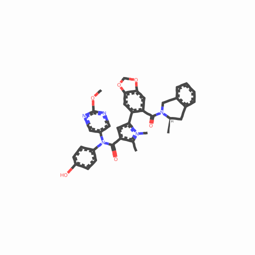 COc1ncc(N(C(=O)c2cc(-c3cc4c(cc3C(=O)N3Cc5ccccc5C[C@H]3C)OCO4)n(C)c2C)c2ccc(O)cc2)cn1